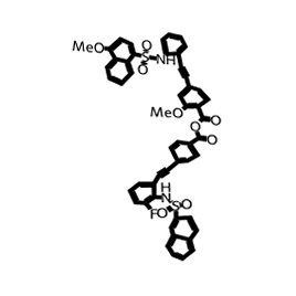 COc1cc(C#Cc2ccccc2NS(=O)(=O)c2ccc(OC)c3ccccc23)ccc1C(=O)OC(=O)c1ccc(C#Cc2cccc(F)c2NS(=O)(=O)c2ccc3ccccc3c2)cc1